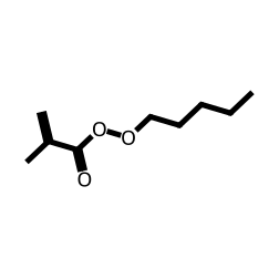 C=C(C)C(=O)OOCCCCC